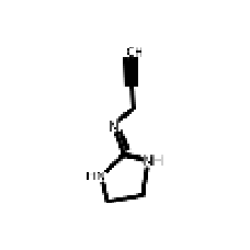 C#CCN=C1NCCN1